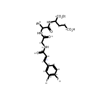 CCOC(=O)C(CCC(=O)O)NC(=O)C(NC(=O)CNC(=O)/C=C/c1ccc(F)c(F)c1)C(C)C